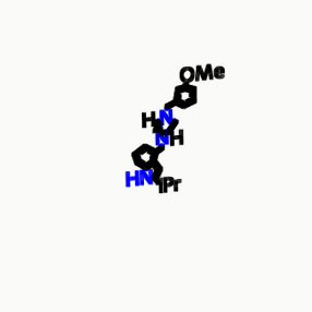 COc1cccc(CN2C[C@H]3C[C@@H]2CN3Cc2cccc3[nH]c(C(C)C)cc23)c1